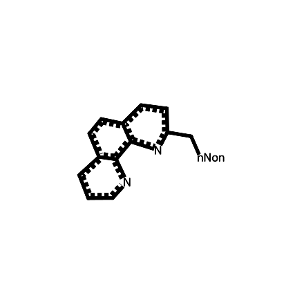 CCCCCCCCCCc1ccc2ccc3cccnc3c2n1